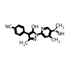 Cc1cc(-n2nc(C)c(-c3ccc(C#N)cc3)c2O)ncc1S(C)=N